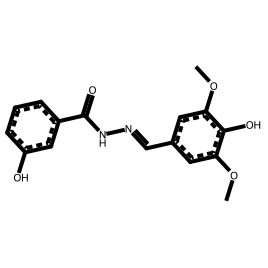 COc1cc(C=NNC(=O)c2cccc(O)c2)cc(OC)c1O